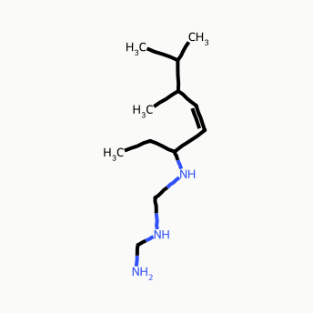 CCC(/C=C\C(C)C(C)C)NCNCN